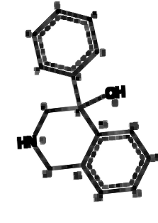 OC1(c2ccccc2)CNCc2ccccc21